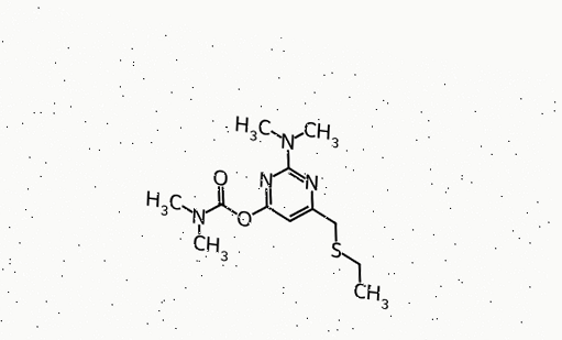 CCSCc1cc(OC(=O)N(C)C)nc(N(C)C)n1